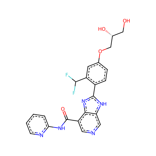 O=C(Nc1ccccn1)c1cncc2[nH]c(-c3ccc(OC[C@H](O)CO)cc3C(F)F)nc12